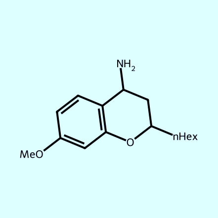 CCCCCCC1CC(N)c2ccc(OC)cc2O1